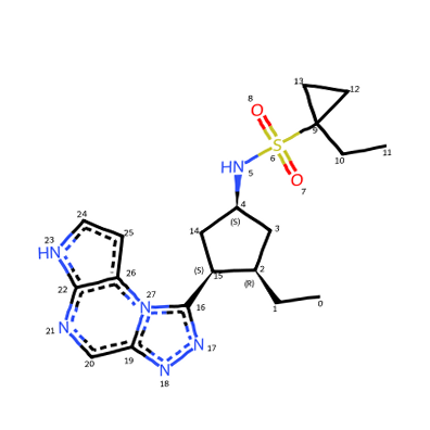 CC[C@@H]1C[C@H](NS(=O)(=O)C2(CC)CC2)C[C@@H]1c1nnc2cnc3[nH]ccc3n12